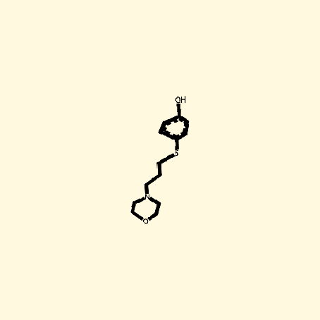 Oc1ccc(SCCCN2CCOCC2)cc1